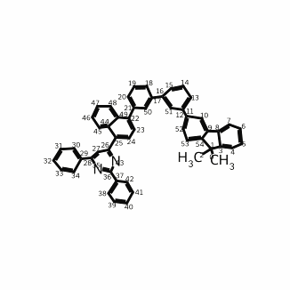 CC1(C)c2ccccc2-c2cc(-c3cccc(-c4cccc(-c5ccc(-c6cc(-c7ccccc7)nc(-c7ccccc7)n6)c6ccccc56)c4)c3)ccc21